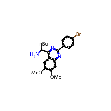 CCCCC(N)c1nc(-c2ccc(Br)cc2)nc2cc(OC)c(OC)cc12